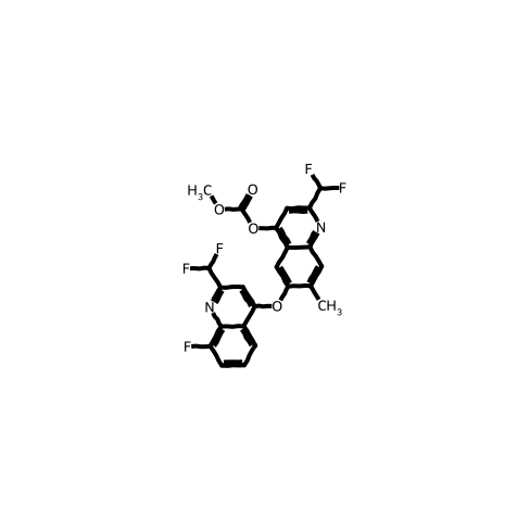 COC(=O)Oc1cc(C(F)F)nc2cc(C)c(Oc3cc(C(F)F)nc4c(F)cccc34)cc12